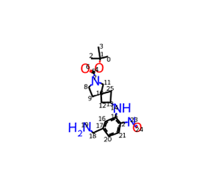 CC(C)(C)OC(=O)N1CC[C@]2(C1)C[C@H](Nc1cc(CN)ccc1N=O)C2